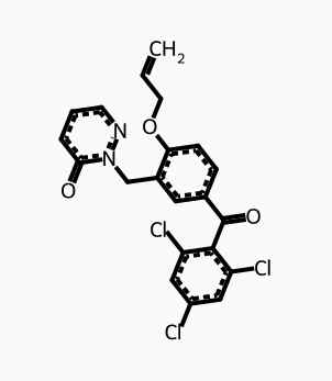 C=CCOc1ccc(C(=O)c2c(Cl)cc(Cl)cc2Cl)cc1Cn1ncccc1=O